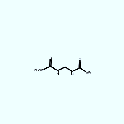 CCCCCC(=O)NCNC(=O)CCC